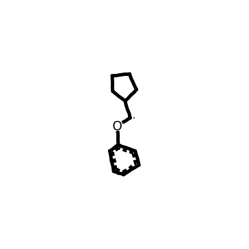 [CH](Oc1ccccc1)C1CCCC1